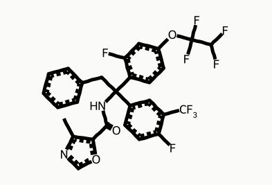 Cc1ncoc1C(=O)NC(Cc1ccccc1)(c1ccc(F)c(C(F)(F)F)c1)c1ccc(OC(F)(F)C(F)F)cc1F